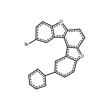 Brc1ccc2oc3ccc4oc5ccc(-c6ccccc6)cc5c4c3c2c1